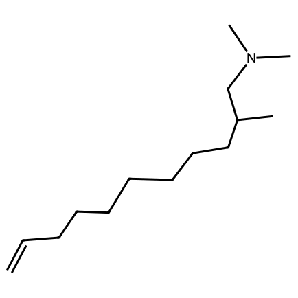 C=CCCCCCCCC(C)CN(C)C